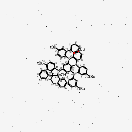 CC(C)(C)c1cccc(N2c3cc(C(C)(C)C)ccc3B3c4ccc(C(C)(C)C)cc4N(c4ccc(C(C)(C)C)cc4-c4ccccc4)c4cc(N5c6ccc(C(C)(C)C)cc6C6(c7ccccc7)CCc7ccccc7C56C)cc2c43)c1